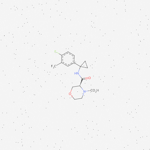 O=C(NC1(c2ccc(F)c(C(F)(F)F)c2)CC1)[C@@H]1COCCN1C(=O)O